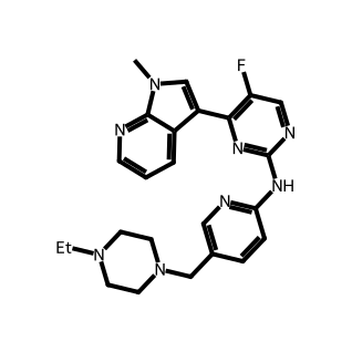 CCN1CCN(Cc2ccc(Nc3ncc(F)c(-c4cn(C)c5ncccc45)n3)nc2)CC1